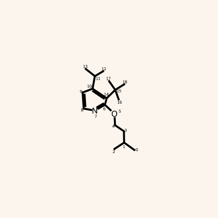 CC(C)CCOc1nccc(C(C)C)c1C(C)(C)C